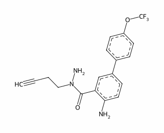 C#CCCN(N)C(=O)c1cc(-c2ccc(OC(F)(F)F)cc2)ccc1N